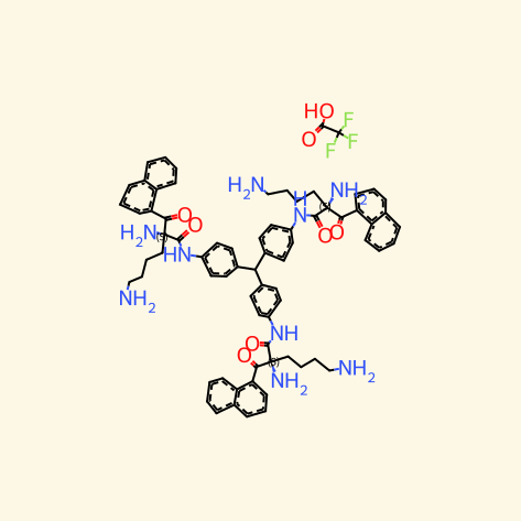 NCCCC[C@@](N)(C(=O)Nc1ccc(C(c2ccc(NC(=O)[C@](N)(CCCCN)C(=O)c3cccc4ccccc34)cc2)c2ccc(NC(=O)[C@](N)(CCCCN)C(=O)c3cccc4ccccc34)cc2)cc1)C(=O)c1cccc2ccccc12.O=C(O)C(F)(F)F